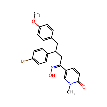 Cn1cc(C(CC(Cc2ccc(OC(F)(F)F)cc2)c2ccc(Br)cc2)=NO)ccc1=O